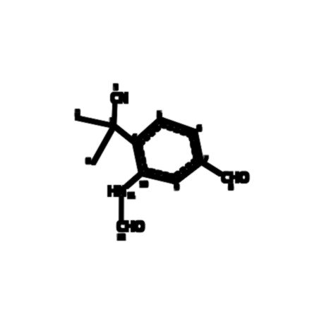 CC(C)(C#N)c1ccc(C=O)cc1NC=O